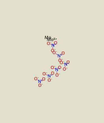 O=[N+]([O-])[O-].O=[N+]([O-])[O-].O=[N+]([O-])[O-].O=[N+]([O-])[O-].O=[N+]([O-])[O-].O=[N+]([O-])[O-].[Mo+6].[Mo]